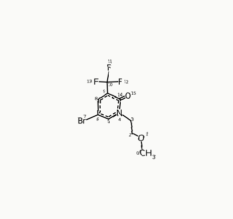 COCCn1cc(Br)cc(C(F)(F)F)c1=O